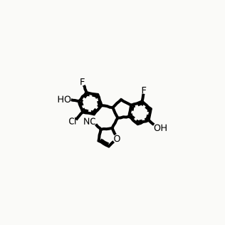 N#CC1C=COC1C1c2cc(O)cc(F)c2CC1c1cc(F)c(O)c(Cl)c1